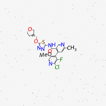 COc1cnc(Cl)c(F)c1-c1cc(C)ncc1C(=O)Nc1nnc(OC[C@@H]2CCOC2)s1